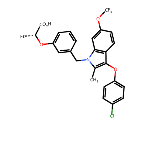 CC[C@@H](Oc1cccc(Cn2c(C)c(Oc3ccc(Cl)cc3)c3ccc(OC(F)(F)F)cc32)c1)C(=O)O